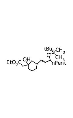 CCCCCC(C=CC1CCCC(O)(CC(=O)OCC)C1)O[Si](C)(C)C(C)(C)C